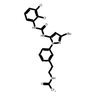 CC(C)(C)c1cc(NC(=O)Nc2cccc(Cl)c2Cl)n(-c2cccc(CCNC(=O)C(F)(F)F)c2)n1